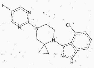 Fc1cnc(N2CCN(c3n[nH]c4cccc(Cl)c34)C3(CC3)C2)nc1